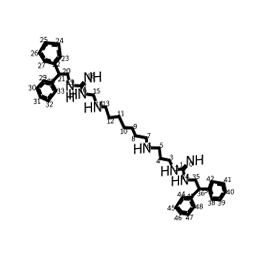 N=C(NCCCNCCCCCCCNCNC(=N)NCC(c1ccccc1)c1ccccc1)NCC(c1ccccc1)c1ccccc1